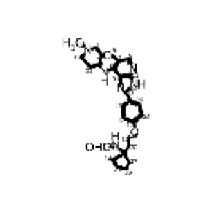 CN1CCC(Nc2c(Cl)cnc3[nH]c(-c4ccc(OCCC5(NC=O)CCCC5)cc4)nc23)CC1